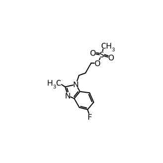 Cc1nc2cc(F)ccc2n1CCCOS(C)(=O)=O